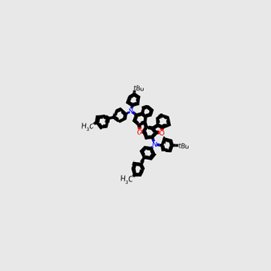 Cc1ccc(-c2ccc(N(c3ccc(C(C)(C)C)cc3)c3cc4oc5cc(N(c6ccc(-c7ccc(C)cc7)cc6)c6ccc(C(C)(C)C)cc6)c6oc7ccccc7c6c5c4c4ccccc34)cc2)cc1